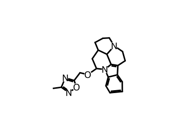 Cc1noc(COC2CC3CCCN4CCc5c(n2c2ccccc52)C34)n1